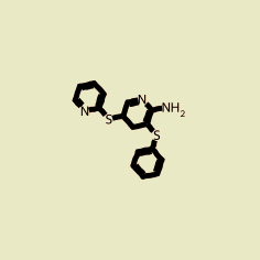 NC1=C(Sc2ccccc2)CC(Sc2ccccn2)C=N1